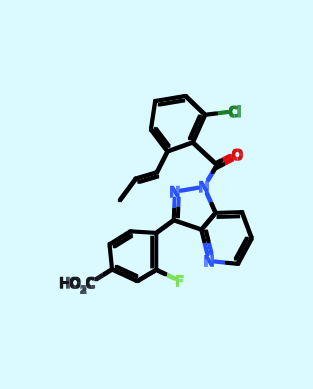 CC=Cc1cccc(Cl)c1C(=O)n1nc(-c2ccc(C(=O)O)cc2F)c2ncccc21